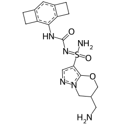 NCC1COc2c(S(N)(=O)=NC(=O)Nc3c4c(cc5c3CC5)CC4)cnn2C1